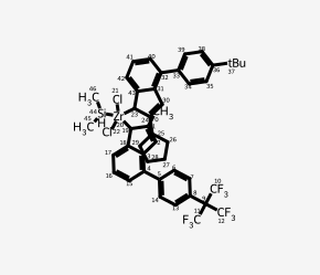 CC1=Cc2c(-c3ccc(C(C(F)(F)F)(C(F)(F)F)C(F)(F)F)cc3)cccc2[CH]1[Zr]([Cl])([Cl])([CH]1C(C2CCCC2)=Cc2c(-c3ccc(C(C)(C)C)cc3)cccc21)[SiH](C)C